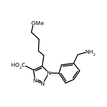 COCCCCc1c(C(=O)O)nnn1-c1cccc(CN)c1